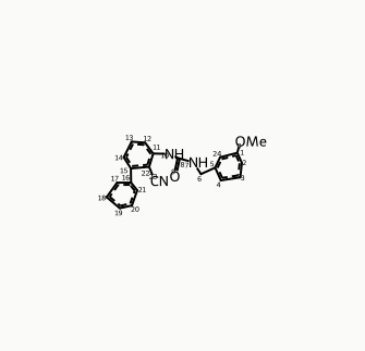 COc1cccc(CNC(=O)Nc2cccc(-c3ccccc3)c2C#N)c1